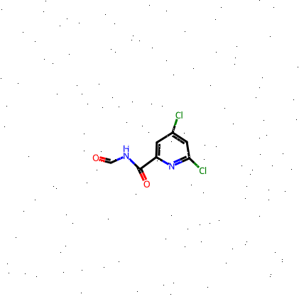 O=CNC(=O)c1cc(Cl)cc(Cl)n1